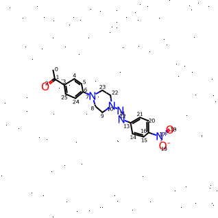 CC(=O)c1ccc(N2CCN(/N=N/c3ccc([N+](=O)[O-])cc3)CC2)cc1